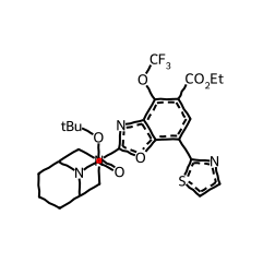 CCOC(=O)c1cc(-c2nccs2)c2oc(N3CC4CCCC(C3)N4C(=O)OC(C)(C)C)nc2c1OC(F)(F)F